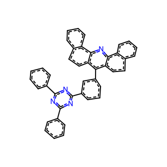 c1ccc(-c2nc(-c3ccccc3)nc(-c3cccc(-c4c5ccc6ccccc6c5nc5c4ccc4ccccc45)c3)n2)cc1